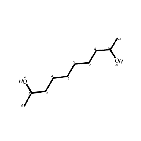 CC(O)CCCCCCC(C)O